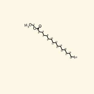 CCOC(=O)CCCCCCCCCCCCCCCI